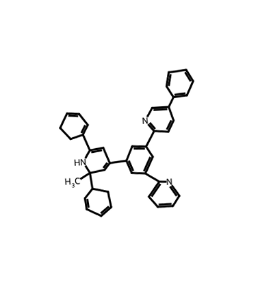 CC1(C2C=CC=CC2)C=C(c2cc(-c3ccccn3)cc(-c3ccc(-c4ccccc4)cn3)c2)C=C(C2=CC=CCC2)N1